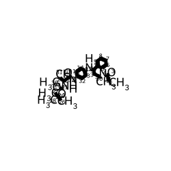 CCC(=O)N1c2ccccc2[C@H](Nc2ccc(NC(=O)[C@@H](NC(=O)OC(C)(C)C)C(C)C)cc2)C[C@@H]1C